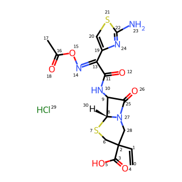 C=CC1(C(=O)O)CS[C@@H]2C(NC(=O)C(=NOC(C)=O)c3csc(N)n3)C(=O)N2C1.Cl